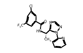 C[C@H](NC(=O)c1cc(Cl)cc(C(F)(F)F)c1)c1ncnn1-c1ccccn1